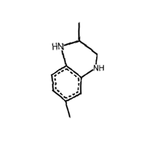 Cc1ccc2c(c1)NCC(C)N2